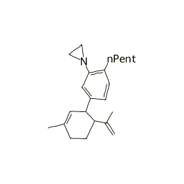 C=C(C)C1CCC(C)=CC1c1ccc(CCCCC)c(N2CC2)c1